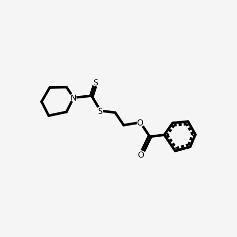 O=C(OCCSC(=S)N1CCCCC1)c1ccccc1